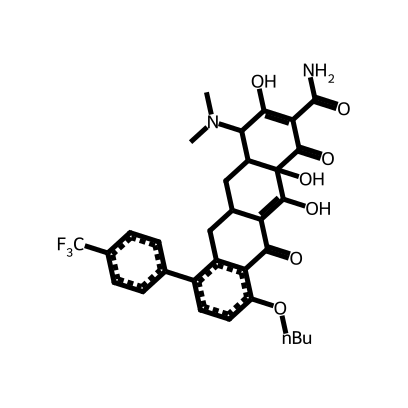 CCCCOc1ccc(-c2ccc(C(F)(F)F)cc2)c2c1C(=O)C1=C(O)C3(O)C(=O)C(C(N)=O)=C(O)C(N(C)C)C3CC1C2